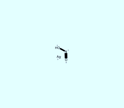 O=NO.[Ag]